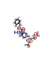 CC(=O)C1O[C@H]([C@@H]2COC(C)(C)O2)[C@@H](CN2CCC(C)(NC(=O)OCc3ccccc3)CC2)O1